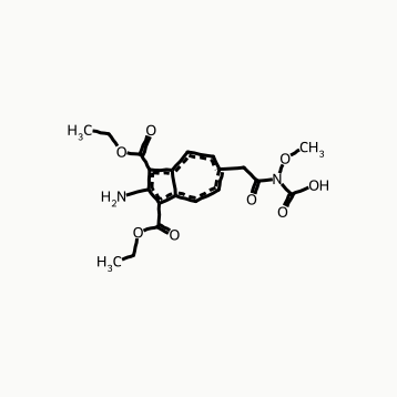 CCOC(=O)c1c2ccc(CC(=O)N(OC)C(=O)O)ccc-2c(C(=O)OCC)c1N